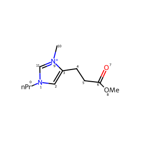 CCCn1cc(CCC(=O)OC)[n+](C)c1